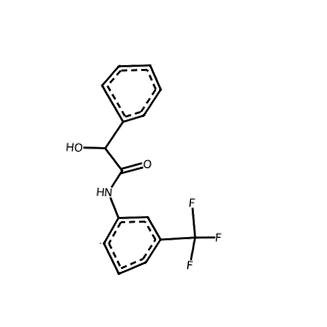 O=C(Nc1[c]ccc(C(F)(F)F)c1)C(O)c1ccccc1